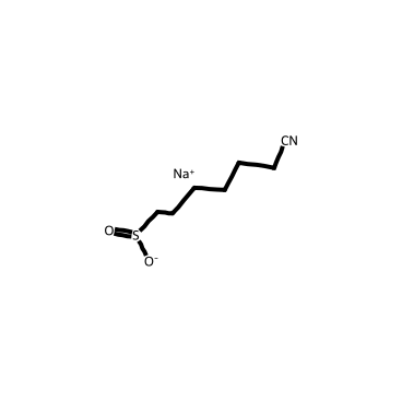 N#CCCCCCCS(=O)[O-].[Na+]